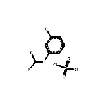 Cc1cccc(OC(F)F)c1.O=S(=O)(Cl)Cl